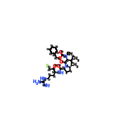 CC(C)C(C(=O)N1CCC[C@H]1C(=O)N[C@@H](CCCNC(=N)N)C(=O)CF)N(C)C(=O)OCc1ccccc1